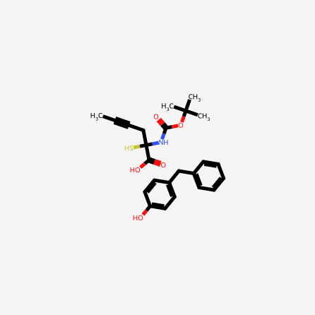 CC#CCC(S)(NC(=O)OC(C)(C)C)C(=O)O.Oc1ccc(Cc2ccccc2)cc1